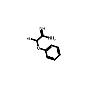 CCC(Oc1ccccc1)C(=N)N